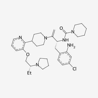 C=C([C@@H](Cc1ccc(Cl)cc1N)NC(=O)N1CCCCC1)N1CCC(c2ncccc2OC[C@@H](CC)N2CCCC2)CC1